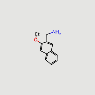 CCOc1cc2ccccc2cc1CN